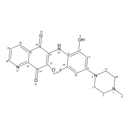 CN1CCN(c2cc(O)c(NC3=C(Cl)C(=O)c4ncccc4C3=O)c(F)c2)CC1